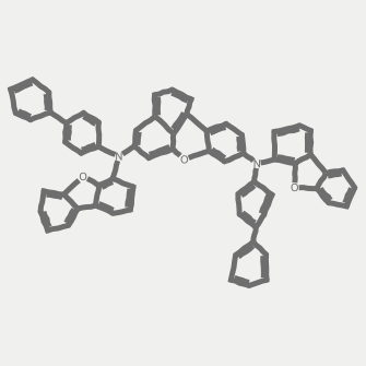 c1ccc(-c2ccc(N(c3ccc4c(c3)Oc3cc(N(c5ccc(-c6ccccc6)cc5)c5cccc6c5oc5ccccc56)cc5cccc-4c35)c3cccc4c3oc3ccccc34)cc2)cc1